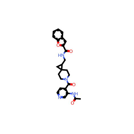 CC(=O)Nc1cnccc1C(=O)N1CCC2(CC1)CC2CNC(=O)c1cc2ccccc2o1